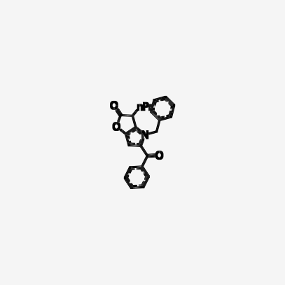 CCCC1C(=O)Oc2cc(C(=O)c3ccccc3)n(Cc3ccccc3)c21